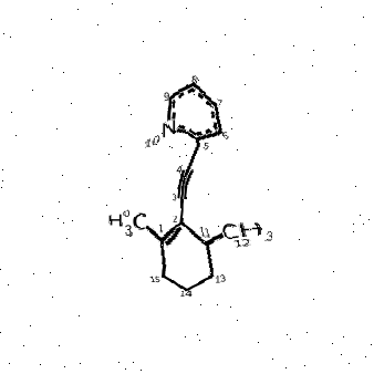 CC1=C(C#Cc2ccccn2)C(C)CCC1